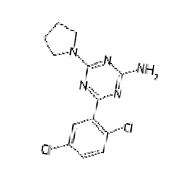 Nc1nc(-c2cc(Cl)ccc2Cl)nc(N2CCCC2)n1